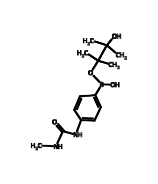 CNC(=O)Nc1ccc(B(O)OC(C)(C)C(C)(C)O)cc1